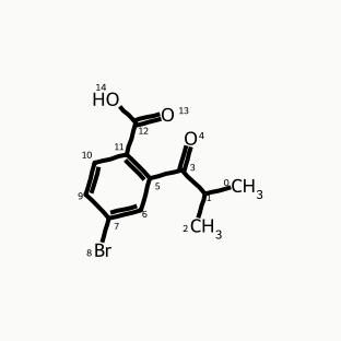 CC(C)C(=O)c1cc(Br)ccc1C(=O)O